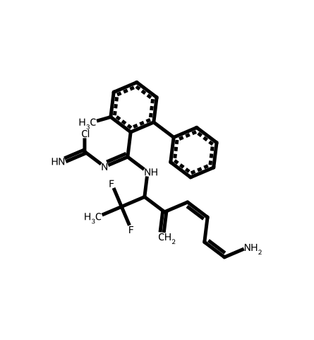 C=C(/C=C\C=C/N)C(N/C(=N/C(=N)Cl)c1c(C)cccc1-c1ccccc1)C(C)(F)F